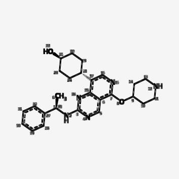 C[C@@H](Nc1ncc2c(OC3CCNCC3)ncc([C@H]3CC[C@H](O)CC3)c2n1)c1ccccc1